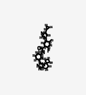 Cc1cc(F)c(C(=O)Nc2cccc(-c3nnc4n3C3(CCC3)CC4)n2)cc1-n1cnc(C2CC2)c1